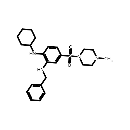 CN1CCN(S(=O)(=O)c2ccc(NC3CCCCC3)c(NCc3ccccc3)c2)CC1